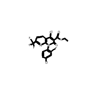 CCOC(=O)c1c(Cl)c2ccc(C(F)(F)F)nc2n(-c2ccc(Cl)cc2F)c1=O